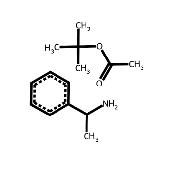 CC(=O)OC(C)(C)C.CC(N)c1ccccc1